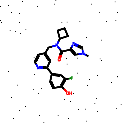 Cn1cnc(C(=O)N(Cc2ccnc(-c3ccc(O)c(F)c3)c2)C2CCC2)c1